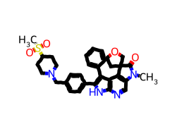 CN1C(=O)C2(CCOC2)c2c1cnc1[nH]c(-c3ccc(CN4CCC(S(C)(=O)=O)CC4)cc3)c(-c3ccccc3)c21